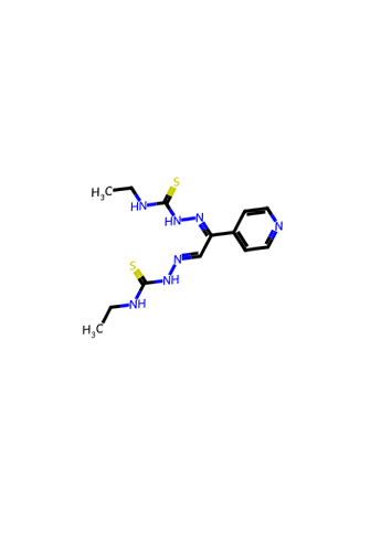 CCNC(=S)N/N=C(\C=N\NC(=S)NCC)c1ccncc1